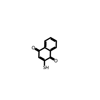 O=C1C=C(S)C(=O)c2ccccc21